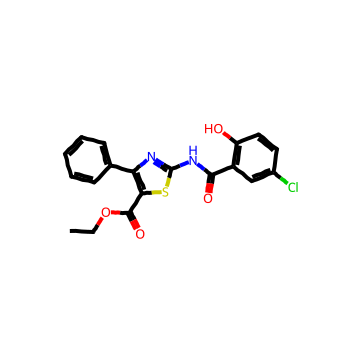 CCOC(=O)c1sc(NC(=O)c2cc(Cl)ccc2O)nc1-c1ccccc1